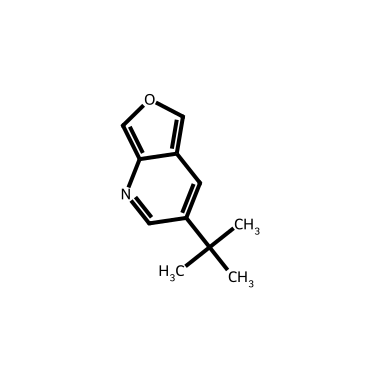 CC(C)(C)c1cnc2cocc2c1